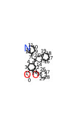 COc1ccc(C2(Cc3cccnc3)Cc3ccccc3C2)cc1OC1CCCC1